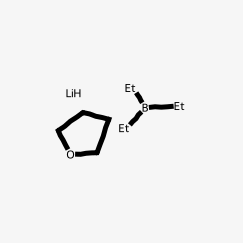 C1CCOC1.CCB(CC)CC.[LiH]